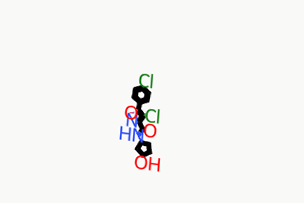 O=C(N[C@@H]1CC[C@H](O)C1)c1noc(-c2ccc(Cl)cc2)c1Cl